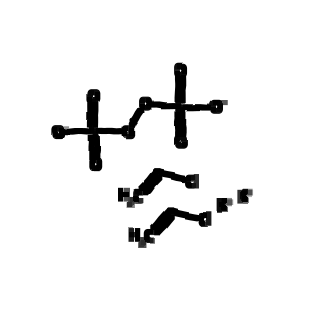 C=CCl.C=CCl.O=S(=O)([O-])OOS(=O)(=O)[O-].[K+].[K+]